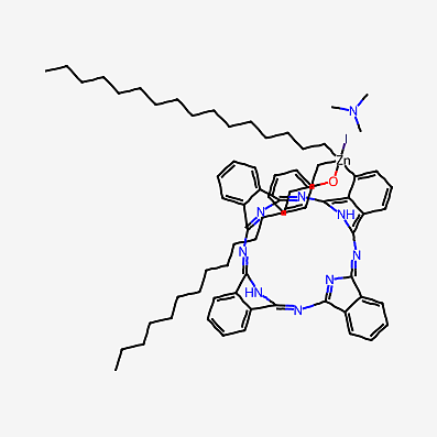 CCCCCCCCCCCCCCC[CH2][Zn]([I])([CH2]CCCCCCCCCCCCCCC)([O]c1ccccc1)[c]1cccc2c3nc4nc(nc5[nH]c(nc6nc(nc([nH]3)c12)-c1ccccc1-6)c1ccccc51)-c1ccccc1-4.CN(C)C